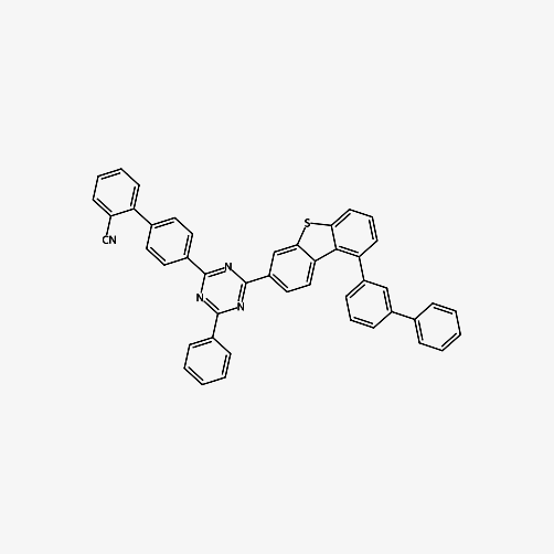 N#Cc1ccccc1-c1ccc(-c2nc(-c3ccccc3)nc(-c3ccc4c(c3)sc3cccc(-c5cccc(-c6ccccc6)c5)c34)n2)cc1